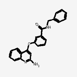 Nc1cc(Oc2cccc(C(=O)NCc3ccccc3)c2)c2ccccc2n1